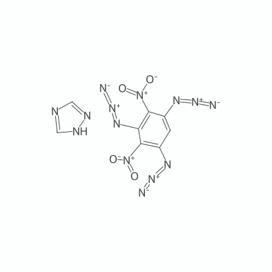 [N-]=[N+]=Nc1cc(N=[N+]=[N-])c([N+](=O)[O-])c(N=[N+]=[N-])c1[N+](=O)[O-].c1nc[nH]n1